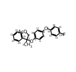 CC(=O)OCC(C)(Oc1ccc(Oc2ccc(F)cc2)cc1)c1ccccc1